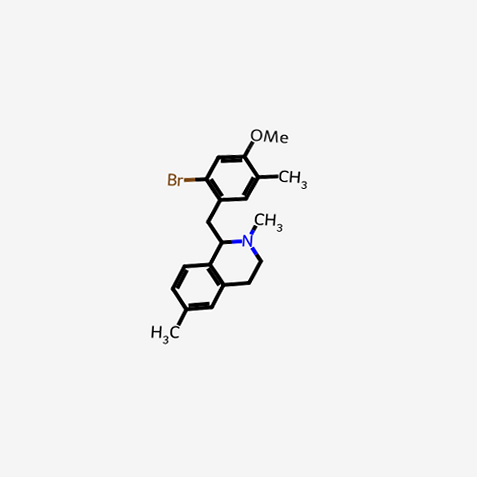 COc1cc(Br)c(CC2c3ccc(C)cc3CCN2C)cc1C